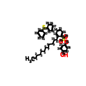 CCCCCCCCCCCCc1ccccc1S(=O)(=O)Oc1ccc(O)cc1.c1ccc(Sc2ccccc2)cc1